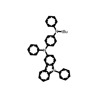 CC(C)(C)N(c1ccccc1)c1ccc(N(c2ccccc2)c2ccc3c(c2)c2ccccc2n3-c2ccccc2)cc1